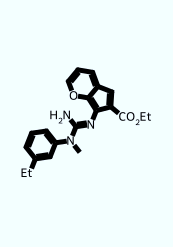 CCOC(=O)c1cc2cccoc-2c1N=C(N)N(C)c1cccc(CC)c1